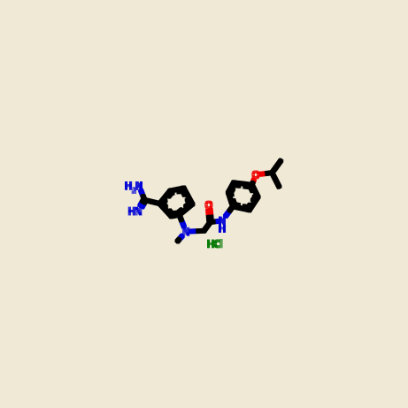 CC(C)Oc1ccc(NC(=O)CN(C)c2cccc(C(=N)N)c2)cc1.Cl